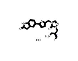 Cl.NC/C(=C\F)Cn1ncn(Cc2ccc(-c3ccc4c(c3)CC(=O)N4)s2)c1=O